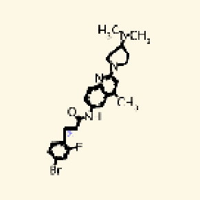 Cc1cc(N2CCC(N(C)C)CC2)nc2ccc(NC(=O)/C=C/c3ccc(Br)cc3F)cc12